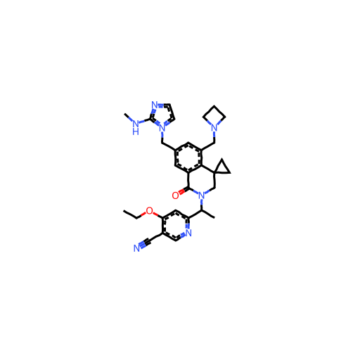 CCOc1cc(C(C)N2CC3(CC3)c3c(CN4CCC4)cc(Cn4ccnc4NC)cc3C2=O)ncc1C#N